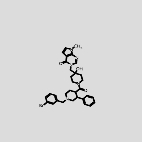 Cn1ccc2c(=O)n(CC3(O)CCN(C(=O)C4CCN(Cc5cccc(Br)c5)CC4c4ccccc4)CC3)cnc21